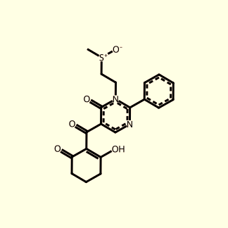 C[S+]([O-])CCn1c(-c2ccccc2)ncc(C(=O)C2=C(O)CCCC2=O)c1=O